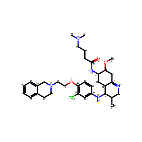 CCOC1CC2=NCC(C#N)C(Nc3ccc(OCCN4CCc5ccccc5C4)c(Cl)c3)C2CC1NC(=O)CCCN(C)C